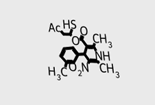 CC(=O)CC(S)OC(=O)C1=C(C)NC(C)=C([N+](=O)[O-])C1c1cccc(C)c1